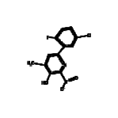 Cc1cc(-c2cc(Cl)ccc2F)nc([N+](=O)[O-])c1O